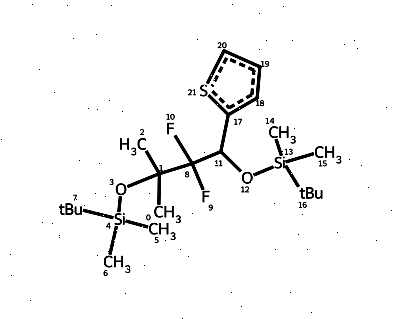 CC(C)(O[Si](C)(C)C(C)(C)C)C(F)(F)C(O[Si](C)(C)C(C)(C)C)c1cccs1